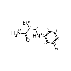 CCC(CNc1cccc(C)c1)C(N)=O